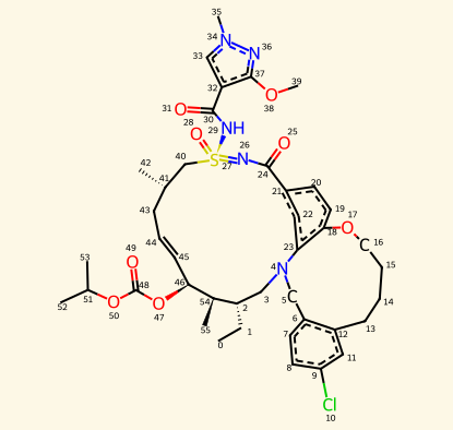 CC[C@H]1CN2Cc3ccc(Cl)cc3CCCCOc3ccc(cc32)C(=O)N=[S@](=O)(NC(=O)c2cn(C)nc2OC)C[C@@H](C)C/C=C/[C@H](OC(=O)OC(C)C)[C@@H]1C